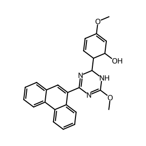 COC1=CC(O)C(C2N=C(c3cc4ccccc4c4ccccc34)N=C(OC)N2)C=C1